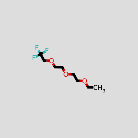 CCOCCOCCO[CH]C(F)(F)F